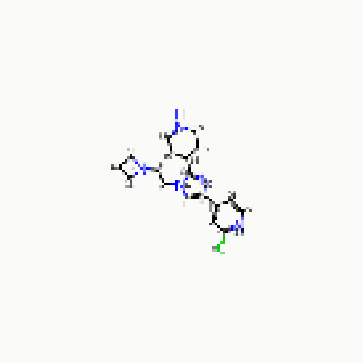 Clc1cc(-c2cn(CCN3CCC3)c(C3CCNCC3)n2)ccn1